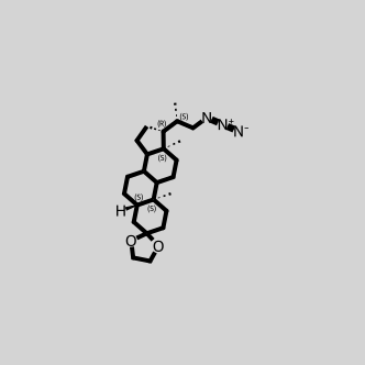 C[C@H](CN=[N+]=[N-])[C@H]1CCC2C3CC[C@H]4CC5(CC[C@]4(C)C3CC[C@@]21C)OCCO5